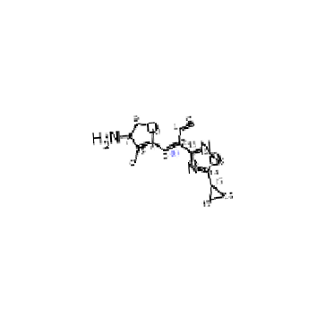 C=C/C(=C\C1=C(C)C(N)CO1)c1noc(C2CC2)n1